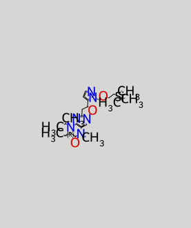 CC[C@@H]1C(=O)N(C)c2cnc(CC(=O)c3ccnn3COCC[Si](C)(C)C)nc2N1C(C)C